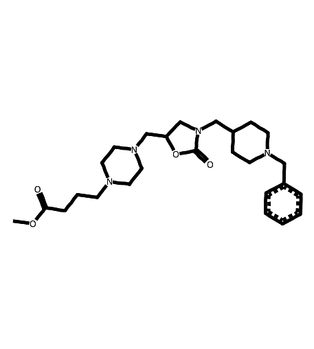 COC(=O)CCCN1CCN(CC2CN(CC3CCN(Cc4ccccc4)CC3)C(=O)O2)CC1